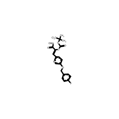 COC(=O)C(=Cc1ccc(OCc2ccc(F)cc2)cn1)OC(=O)OC(C)(C)C(Cl)(Cl)Cl